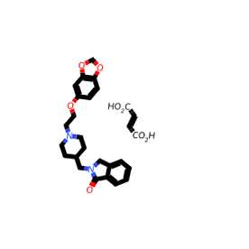 O=C(O)C=CC(=O)O.O=C1c2ccccc2CN1CC1CCN(CCOc2ccc3c(c2)OCO3)CC1